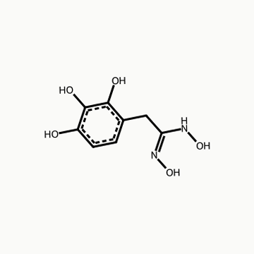 ON=C(Cc1ccc(O)c(O)c1O)NO